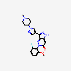 COc1cccc(F)c1-n1nc2c(-c3cnn(C4CCN(C)CC4)c3)n[nH]c2cc1=O